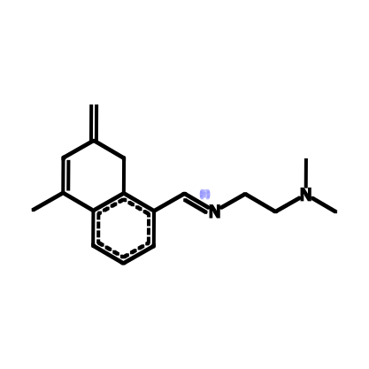 C=C1C=C(C)c2cccc(/C=N/CCN(C)C)c2C1